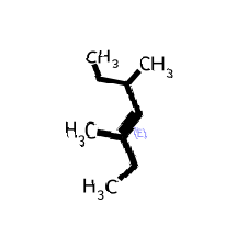 CC[C](C)/C=C(\C)CC